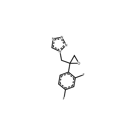 Fc1ccc(C2(Cn3cnnn3)CO2)c(F)c1